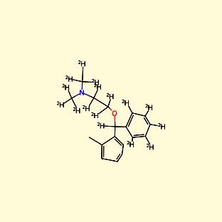 [2H]c1c([2H])c([2H])c(C([2H])(OC([2H])([2H])C([2H])([2H])N(C([2H])([2H])[2H])C([2H])([2H])[2H])c2ccccc2C)c([2H])c1[2H]